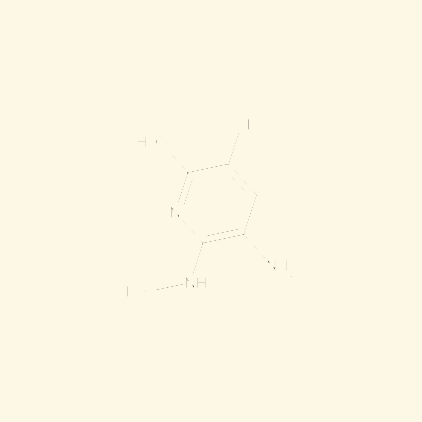 CNc1nc(C)c(C)cc1N